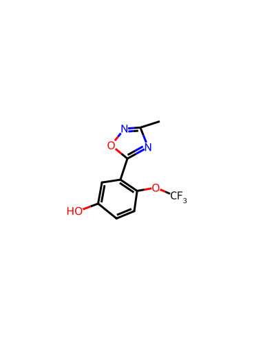 Cc1noc(-c2cc(O)ccc2OC(F)(F)F)n1